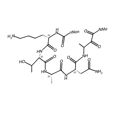 CCCCCCCCCC(=O)N[C@@H](CCCCN)C(=O)N[C@H](C(=O)N[C@@H](C)C(=O)N[C@@H](CC(N)=O)C(=O)NC(C)C(=O)C(=O)NC)C(C)O